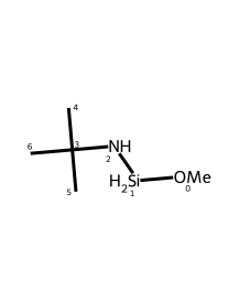 CO[SiH2]NC(C)(C)C